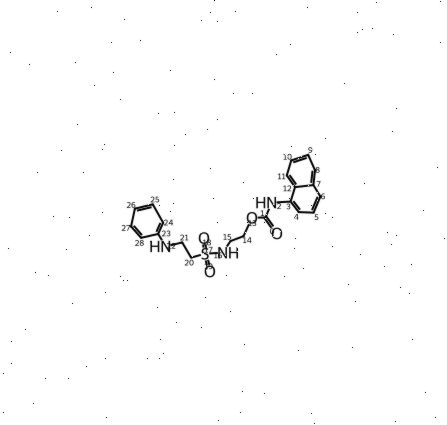 O=C(Nc1cccc2ccccc12)OCCNS(=O)(=O)CCNc1ccccc1